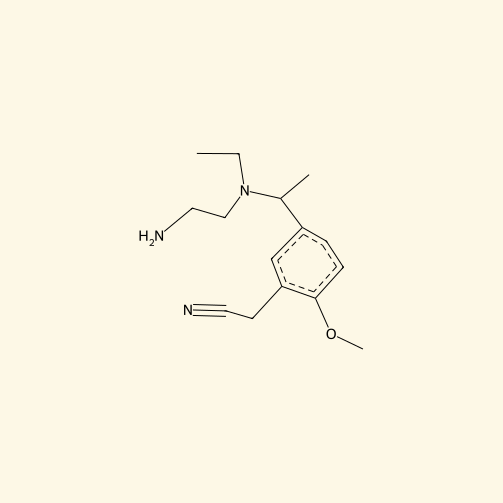 CCN(CCN)C(C)c1ccc(OC)c(CC#N)c1